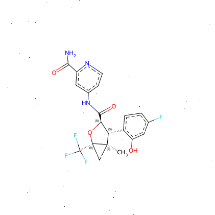 C[C@]12C[C@@]1(C(F)(F)F)O[C@@H](C(=O)Nc1ccnc(C(N)=O)c1)[C@@H]2c1ccc(F)cc1O